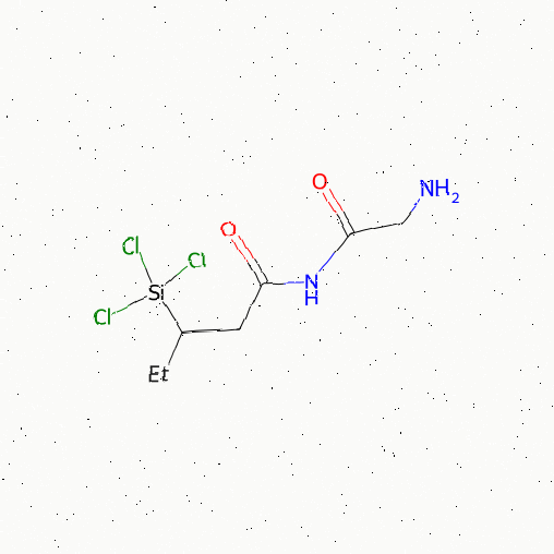 CCC(CC(=O)NC(=O)CN)[Si](Cl)(Cl)Cl